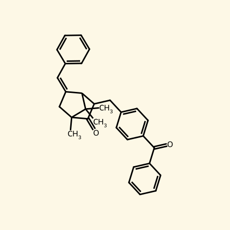 CC12CC(=Cc3ccccc3)C(C(Cc3ccc(C(=O)c4ccccc4)cc3)C1=O)C2(C)C